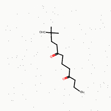 CC(C)(C)CCC(=O)CCCC(=O)CCC(C)(C)C=O